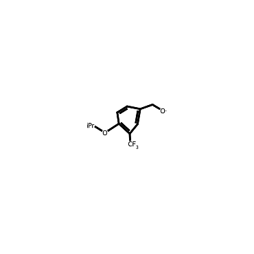 CC(C)Oc1ccc(C[O])cc1C(F)(F)F